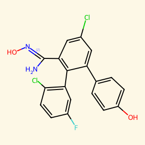 N/C(=N\O)c1cc(Cl)cc(-c2ccc(O)cc2)c1-c1cc(F)ccc1Cl